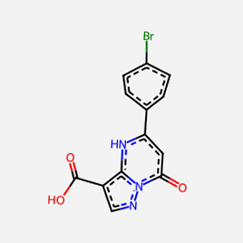 O=C(O)c1cnn2c(=O)cc(-c3ccc(Br)cc3)[nH]c12